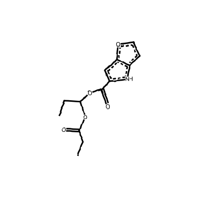 CCC(=O)OC(CC)OC(=O)c1cc2occc2[nH]1